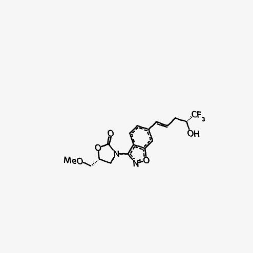 COC[C@H]1CN(c2noc3cc(C=CC[C@@H](O)C(F)(F)F)ccc23)C(=O)O1